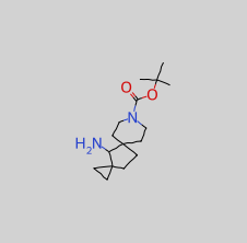 CC(C)(C)OC(=O)N1CCC2(CC1)CCC1(CC1)C2N